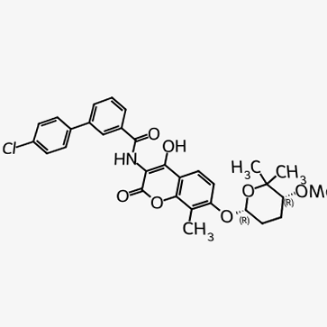 CO[C@@H]1CC[C@H](Oc2ccc3c(O)c(NC(=O)c4cccc(-c5ccc(Cl)cc5)c4)c(=O)oc3c2C)OC1(C)C